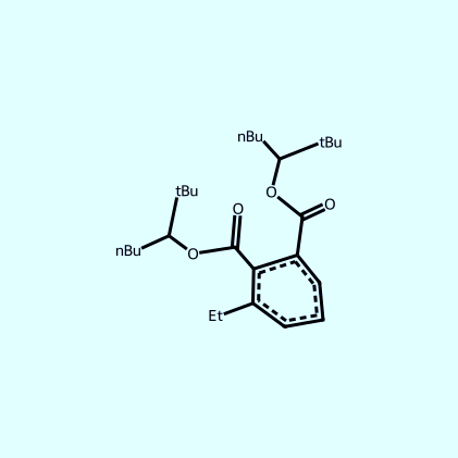 CCCCC(OC(=O)c1cccc(CC)c1C(=O)OC(CCCC)C(C)(C)C)C(C)(C)C